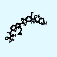 C[C@@H](NC(=O)N(C)C)c1ccc2cc(-c3nc4cc(C(=O)N[C@H]5CNCC[C@@H]5F)c(F)cc4n3C)n(CC3CC3)c2n1